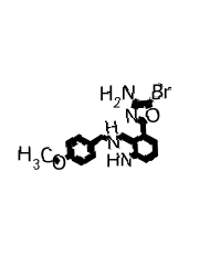 COc1ccc(CN/C=C2\C(=N)C=CC=C2c2nc(N)c(Br)o2)cc1